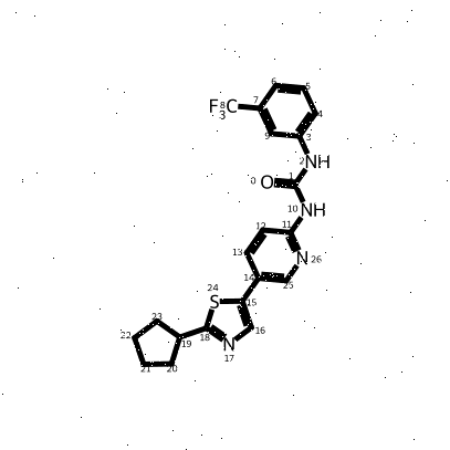 O=C(Nc1cccc(C(F)(F)F)c1)Nc1ccc(-c2cnc([C]3CCCC3)s2)cn1